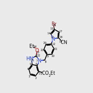 CCOC(=O)c1cccc2c1N(Cc1ccc(-n3cc(Br)cc3C#N)cc1)C(OCC)N2